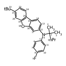 CCCC(C)(C)N(c1ccc(F)cc1)c1ccc2c(c1)oc1cc(C(C)(C)C)ccc12